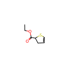 CCOC(=O)C1CC=CS1